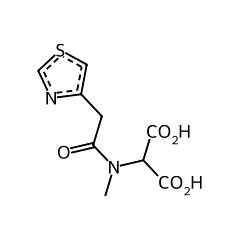 CN(C(=O)Cc1cscn1)C(C(=O)O)C(=O)O